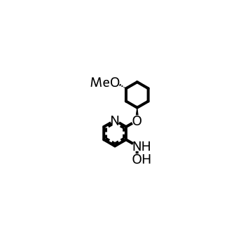 CO[C@@H]1CCC[C@@H](Oc2ncccc2NO)C1